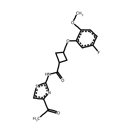 COc1ccc(F)cc1OC1CC(C(=O)Nc2nc(C(C)=O)cs2)C1